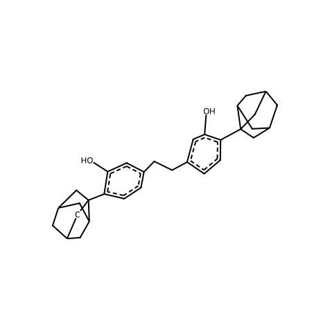 Oc1cc(CCc2ccc(C34CC5CC(CC3C5)C4)c(O)c2)ccc1C12CC3CC(CC1C3)C2